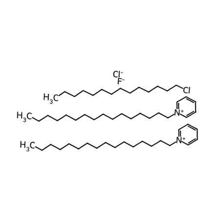 CCCCCCCCCCCCCCCC[n+]1ccccc1.CCCCCCCCCCCCCCCC[n+]1ccccc1.CCCCCCCCCCCCCCCl.[Cl-].[F-]